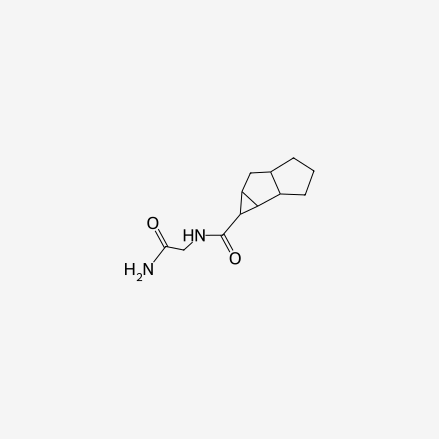 NC(=O)CNC(=O)C1C2CC3CCCC3C21